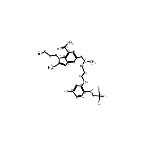 Cc1cc2cc(C[C@@H](C)NCCOc3cc(F)ccc3OCC(F)(F)F)cc(C(N)=O)c2n1CCCO